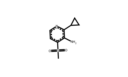 CS(=O)(=O)c1ccnc(C2CC2)c1N